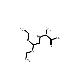 CCOC(CN[C@@H](C)C(=O)O)OCC